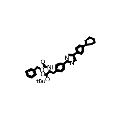 CC(C)(C)OC(=O)C(Cc1ccc(-c2ncc(-c3ccc(C4CCCCC4)cc3)cn2)cc1)NC(=O)OCc1ccccc1